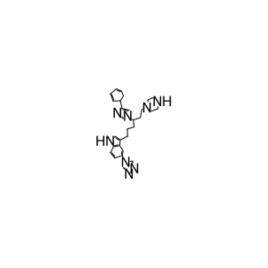 C1=CCC(c2cn(C(CCCc3c[nH]c4ccc(-n5cnnc5)cc34)CCN3CCNCC3)cn2)C=C1